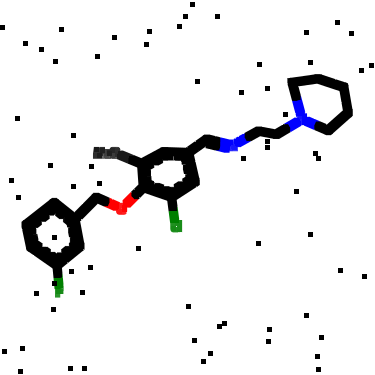 COc1cc(/C=N/CCN2CCCCC2)cc(Cl)c1OCc1cccc(F)c1